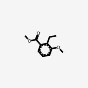 CCc1c(OC)cccc1C(=O)OC